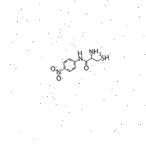 N[C@@H](CS)C(=O)Nc1ccc([N+](=O)[O-])cc1